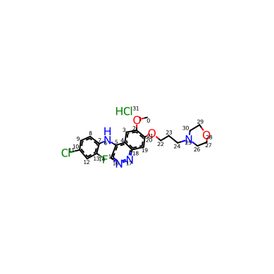 COc1cc2c(Nc3ccc(Cl)cc3F)cnnc2cc1OCCCN1CCOCC1.Cl